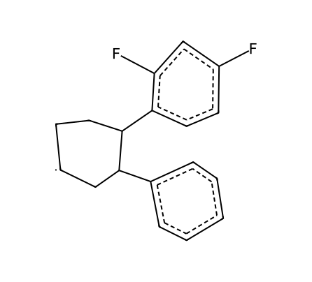 Fc1ccc(C2CC[CH]CC2c2ccccc2)c(F)c1